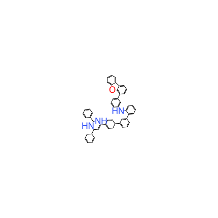 C1=CCC(C2C=C(C3=CCC(c4cccc(-c5ccccc5Nc5cccc(-c6cccc7c6oc6ccccc67)c5)c4)C=C3)NC(c3ccccc3)N2)C=C1